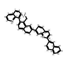 CCc1c(-c2cccc3cccnc23)ccc2ccc(-c3ccc4ccc(-c5ccc6ccccc6c5)nc4c3)cc12